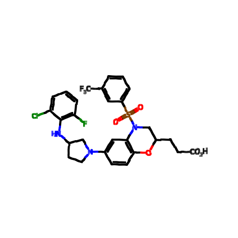 O=C(O)CCC1CN(S(=O)(=O)c2cccc(C(F)(F)F)c2)c2cc(N3CCC(Nc4c(F)cccc4Cl)C3)ccc2O1